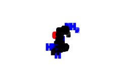 CC(C)CC1(C2=CC=CCC2)NC(=N)N(Cc2cncc(C(=O)N(C)Cc3ccc(N)cc3)c2)C1=O